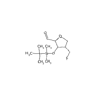 CC(C)(C)[Si](C)(C)OC1C(CF)COC1C=O